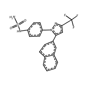 NS(=O)(=O)Nc1ccc(-n2nc(C(F)(F)F)cc2-c2ccc3ccccc3c2)cc1